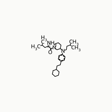 CC(C)CCN(c1ccc(CCC2CCCCC2)cc1)C1CCCN(C(=O)[C@@H](N)CC(C)C)C1